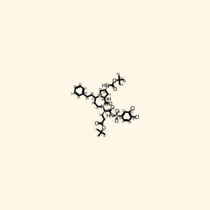 CC(C)(C)OC(=O)CC[C@H](C(=O)NS(=O)(=O)c1ccc(Cl)c(Cl)c1)N1CCC(CCc2ccccc2)N2C[C@H](NC(=O)OC(C)(C)C)C[C@H]2C1=O